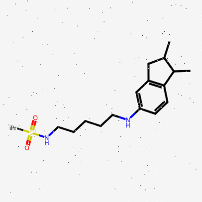 CC1Cc2cc(NCCCCCNS(=O)(=O)C(C)C)ccc2C1C